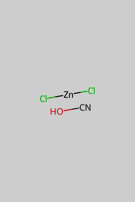 N#CO.[Cl][Zn][Cl]